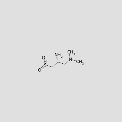 CN(C)C[C@@H](N)C[SH](=O)=O